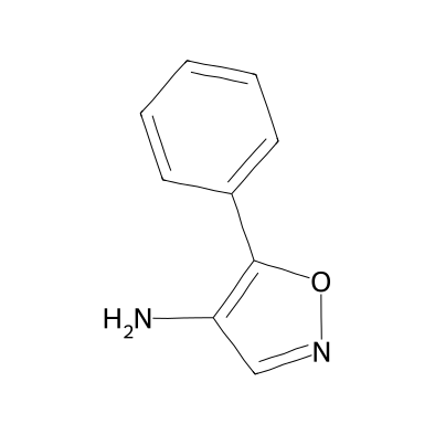 Nc1cnoc1-c1ccccc1